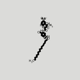 CCCCCCCCCCCCCCCCS(=O)(=O)Nc1ccc(Cl)c(NC(=O)C(Oc2ccc([N+](=O)[O-])cc2)C(=O)C(C)(C)C)c1